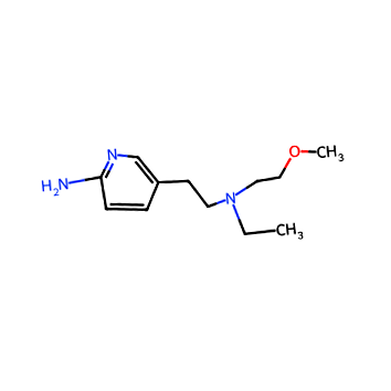 CCN(CCOC)CCc1ccc(N)nc1